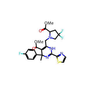 COC(=O)C1=C(CN2CC(F)(F)CC2C(=O)OC)NC(c2nccs2)=NC1(C)c1ccc(F)cc1